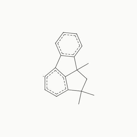 CC1(C)CC2(C)c3ccccc3-c3[c]ccc1c32